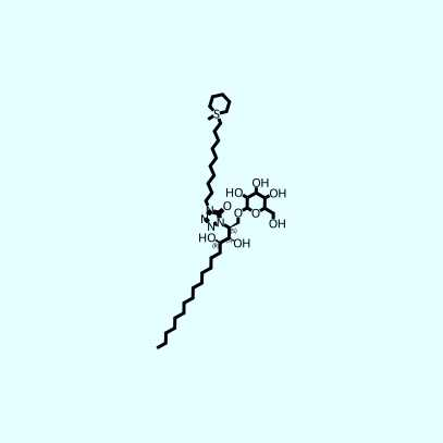 CCCCCCCCCCCCCC[C@@H](O)[C@@H](O)[C@H](COC1OC(CO)C(O)C(O)C1O)n1nnn(CCCCCCCCCCS2(C)CCCCC2)c1=O